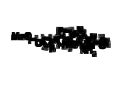 COCCOc1ccc(N2CCN(C(=O)C(CC(C)C)n3ncc4c3N(C)C(N)n3nc(-c5ccco5)nc3-4)CC2)c(F)c1